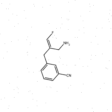 N#Cc1cccc(CC(=CF)CN)c1